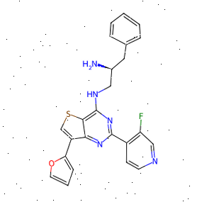 N[C@H](CNc1nc(-c2ccncc2F)nc2c(-c3ccco3)csc12)Cc1ccccc1